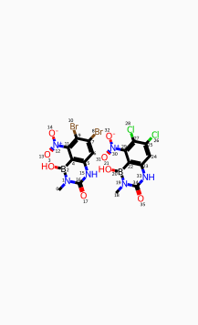 CN1B(O)c2c(cc(Br)c(Br)c2[N+](=O)[O-])NC1=O.CN1B(O)c2c(cc(Cl)c(Cl)c2[N+](=O)[O-])NC1=O